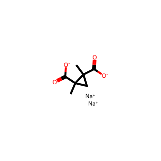 CC1(C(=O)[O-])CC1(C)C(=O)[O-].[Na+].[Na+]